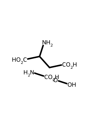 NC(=O)O.NC(CC(=O)O)C(=O)O.[O]O